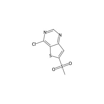 CS(=O)(=O)c1cc2ncnc(Cl)c2s1